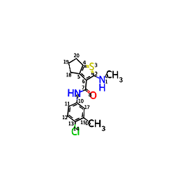 CNc1sc2c(c1C(=O)Nc1ccc(Cl)c(C)c1)CCC2